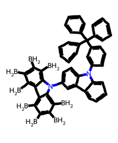 Bc1c(B)c(B)c2c(c1B)c1c(B)c(B)c(B)c(B)c1n2-c1ccc2c(c1)c1ccccc1n2-c1cccc(C(c2ccccc2)(c2ccccc2)c2ccccc2)c1